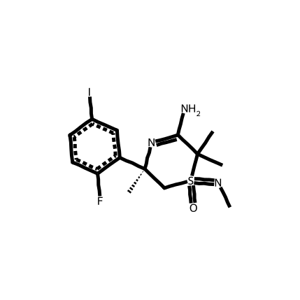 CN=S1(=O)C[C@@](C)(c2cc(I)ccc2F)N=C(N)C1(C)C